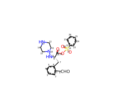 O=Cc1ccccc1C[C@H](NN1CCNCC1)C(=O)OS(=O)(=O)c1ccccc1